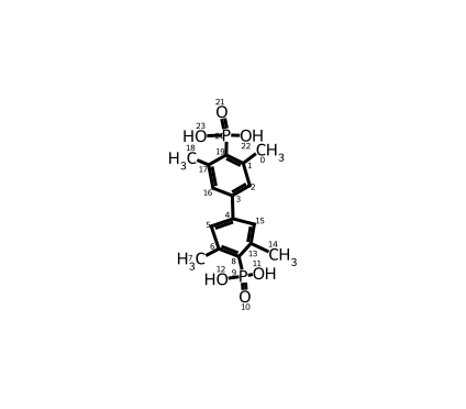 Cc1cc(-c2cc(C)c(P(=O)(O)O)c(C)c2)cc(C)c1P(=O)(O)O